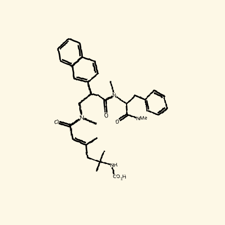 CNC(=O)C(Cc1ccccc1)N(C)C(=O)C(CN(C)C(=O)/C=C(\C)CC(C)(C)NC(=O)O)c1ccc2ccccc2c1